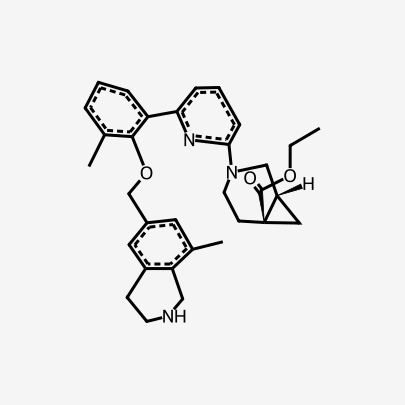 CCOC(=O)[C@@]12CCN(c3cccc(-c4cccc(C)c4OCc4cc(C)c5c(c4)CCNC5)n3)C[C@@H]1C2